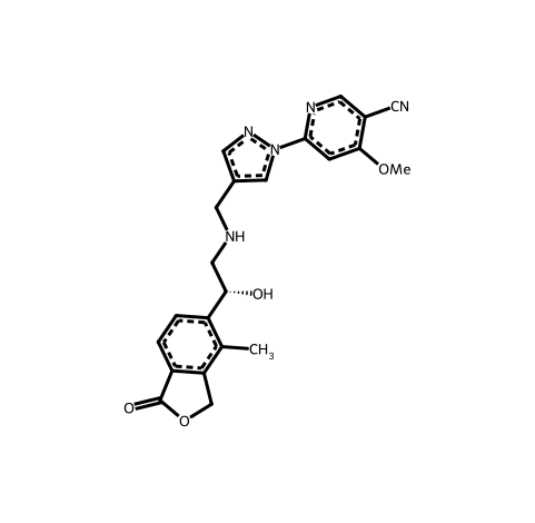 COc1cc(-n2cc(CNC[C@H](O)c3ccc4c(c3C)COC4=O)cn2)ncc1C#N